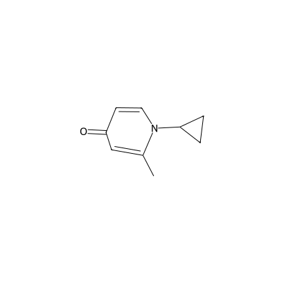 Cc1cc(=O)ccn1C1CC1